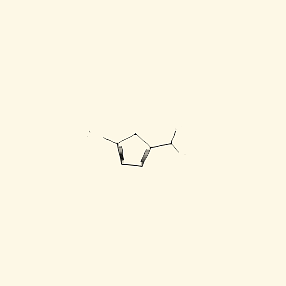 CC(=O)C1=CC=C(C(O)O)C1